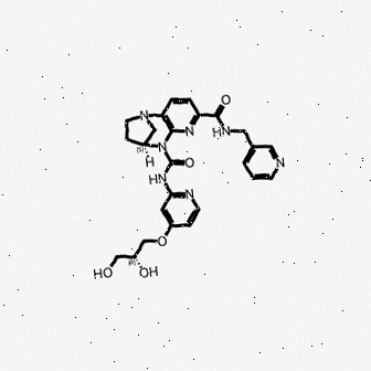 O=C(NCc1cccnc1)c1ccc2c(n1)N(C(=O)Nc1cc(OC[C@H](O)CO)ccn1)[C@H]1CCN2C1